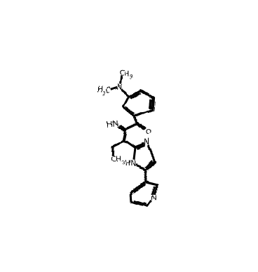 CCC(C(=N)C(=O)c1cccc(N(C)C)c1)c1ncc(-c2cccnc2)[nH]1